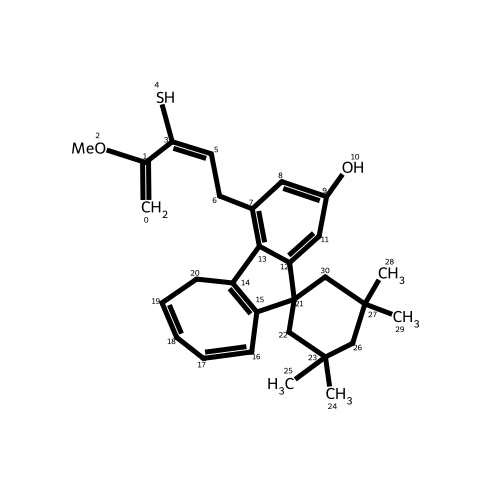 C=C(OC)/C(S)=C\Cc1cc(O)cc2c1C1=C(C=CC=CC1)C21CC(C)(C)CC(C)(C)C1